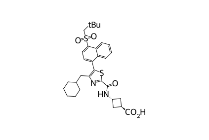 CC(C)(C)CS(=O)(=O)c1ccc(-c2sc(C(=O)N[C@H]3C[C@H](C(=O)O)C3)nc2CC2CCCCC2)c2ccccc12